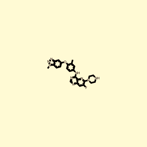 Cc1cc(Nc2ncnc3cc(F)c(N4CCNCC4)nc23)ccc1Oc1ccc2c(c1)nnn2C